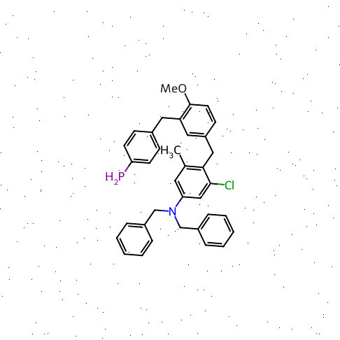 COc1ccc(Cc2c(C)cc(N(Cc3ccccc3)Cc3ccccc3)cc2Cl)cc1Cc1ccc(P)cc1